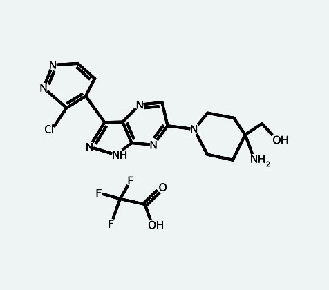 NC1(CO)CCN(c2cnc3c(-c4ccnnc4Cl)n[nH]c3n2)CC1.O=C(O)C(F)(F)F